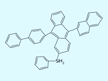 c1ccc([SiH2]c2ccc3c(-c4ccc5ccccc5c4)c4ccccc4c(-c4ccc(-c5ccccc5)cc4)c3c2)cc1